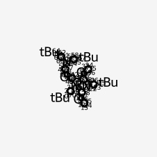 CC(C)(C)c1ccc(N2B3c4cc5oc6ccccc6c5cc4-n4c5ccc(C(C)(C)C)cc5c5c6c(oc7ccccc76)c(c3c54)-c3cc4c(cc32)oc2ccc(N(c3ccc(C(C)(C)C)cc3)c3ccc(C(C)(C)C)cc3)cc24)cc1